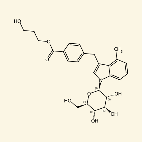 Cc1cccc2c1c(Cc1ccc(C(=O)OCCCO)cc1)cn2[C@@H]1O[C@H](CO)[C@@H](O)[C@H](O)[C@H]1O